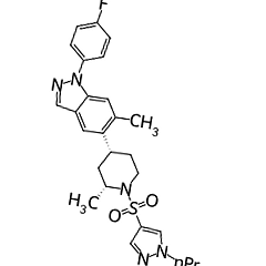 CCCn1cc(S(=O)(=O)N2CC[C@@H](c3cc4cnn(-c5ccc(F)cc5)c4cc3C)C[C@H]2C)cn1